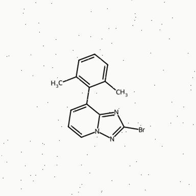 Cc1cccc(C)c1-c1cccn2nc(Br)nc12